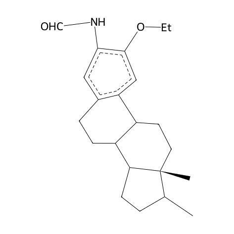 CCOc1cc2c(cc1NC=O)CCC1C2CC[C@]2(C)C(C)CCC12